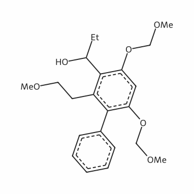 CCC(O)c1c(OCOC)cc(OCOC)c(-c2ccccc2)c1CCOC